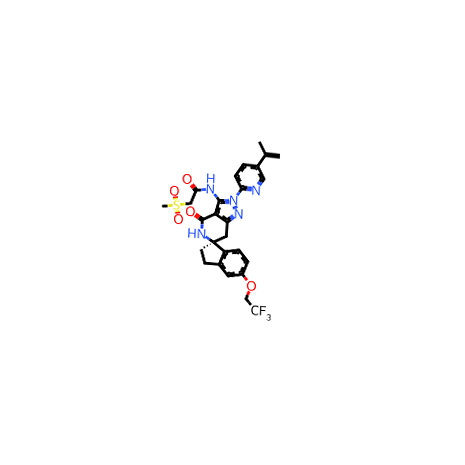 C=C(C)c1ccc(-n2nc3c(c2NC(=O)CS(C)(=O)=O)C(=O)N[C@@]2(CCc4cc(OCC(F)(F)F)ccc42)C3)nc1